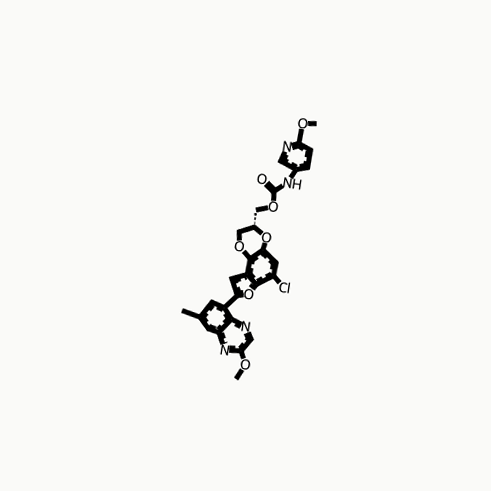 COc1ccc(NC(=O)OC[C@H]2COc3c(cc(Cl)c4oc(-c5cc(C)cc6nc(OC)cnc56)cc34)O2)cn1